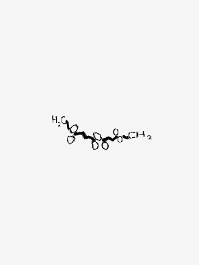 C=CCOC(=O)CCC(=O)OC(=O)CCC(=O)OCC=C